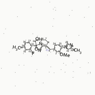 COc1cc(/C=C2\CCCN3C2=NOC3(CO)c2ccc(C)cc2F)ccc1-n1cnc(C)c1